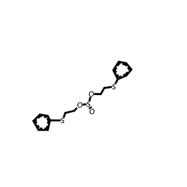 O=S(OCCSc1ccccc1)OCCSc1ccccc1